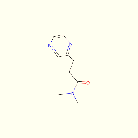 CN(C)C(=O)CCc1cnccn1